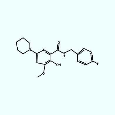 COc1cc(N2CCCCC2)nc(C(=O)NCc2ccc(F)cc2)c1O